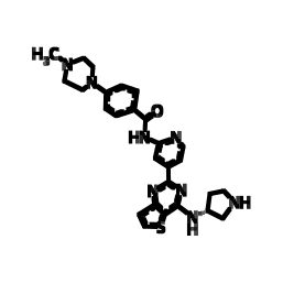 CN1CCN(c2ccc(C(=O)Nc3cc(-c4nc(N[C@@H]5CCNC5)c5sccc5n4)ccn3)cc2)CC1